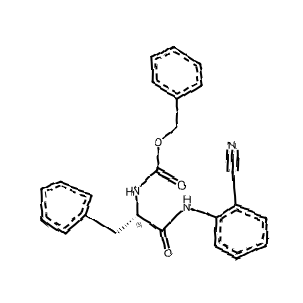 N#Cc1ccccc1NC(=O)[C@H](Cc1ccccc1)NC(=O)OCc1ccccc1